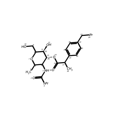 CCCC(=O)NC1C(C)OC(CO)[C@@H](O)[C@@H]1OC(=O)C(C)c1ccc(CC(C)C)cc1